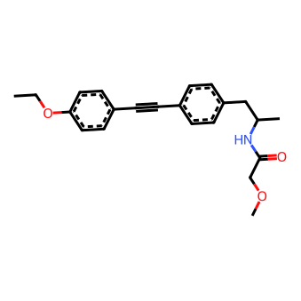 CCOc1ccc(C#Cc2ccc(CC(C)NC(=O)COC)cc2)cc1